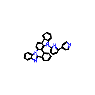 c1cc(-c2ccncc2)nc(-n2c3ccccc3c3ccc4c(c5ccccc5c5nc6ccccc6n45)c32)c1